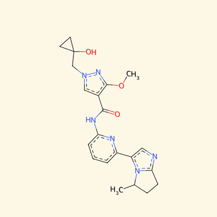 COc1nn(CC2(O)CC2)cc1C(=O)Nc1cccc(-c2cnc3n2C(C)CC3)n1